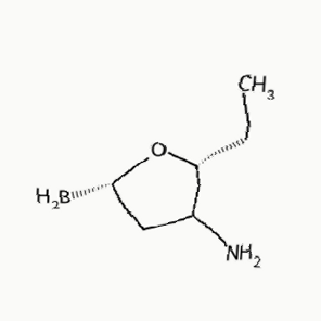 B[C@H]1CC(N)[C@@H](CC)O1